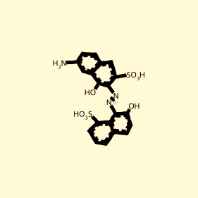 Nc1ccc2cc(S(=O)(=O)O)c(/N=N/c3c(O)ccc4cccc(S(=O)(=O)O)c34)c(O)c2c1